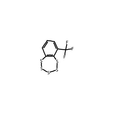 FC(F)(F)c1cccc2c1SSSSS2